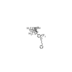 CC(C)(C)OC(=O)N1C(C)(C)OCC1(C)c1nnc(-c2ccc(OCCCCc3ccccc3)c(C(F)(F)F)c2)s1